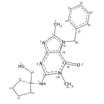 Cc1nc2nc(NC3(CO)CCCC3)n(C)c(=O)c2n1Cc1ccccc1